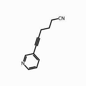 N#CCCCC#Cc1cccnc1